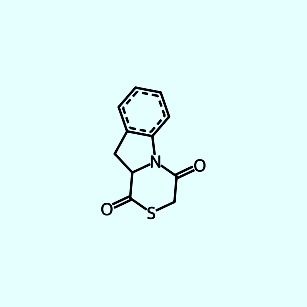 O=C1SCC(=O)N2c3ccccc3CC12